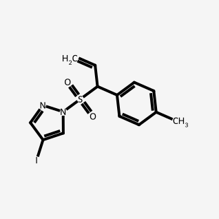 C=CC(c1ccc(C)cc1)S(=O)(=O)n1cc(I)cn1